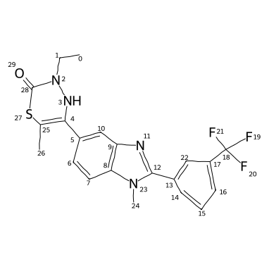 CCN1NC(c2ccc3c(c2)nc(-c2cccc(C(F)(F)F)c2)n3C)=C(C)SC1=O